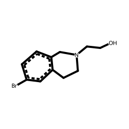 OCCN1CCc2cc(Br)ccc2C1